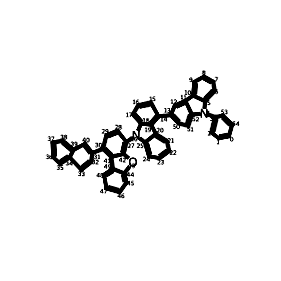 c1ccc(-n2c3ccccc3c3cc(-c4cccc5c4c4ccccc4n5-c4ccc(-c5ccc6ccccc6c5)c5c4oc4ccccc45)ccc32)cc1